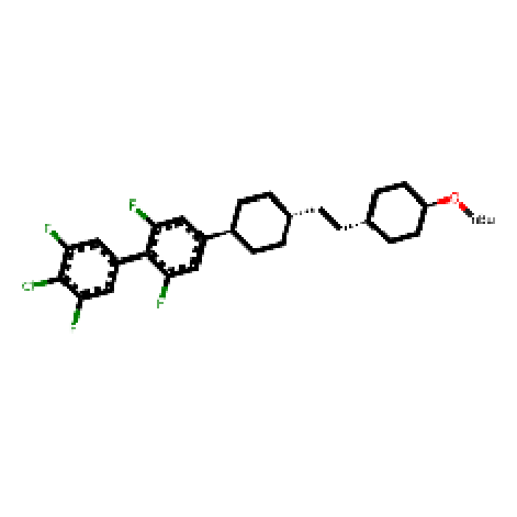 CCCCO[C@H]1CC[C@H](CC[C@H]2CC[C@H](c3cc(F)c(-c4cc(F)c(Cl)c(F)c4)c(F)c3)CC2)CC1